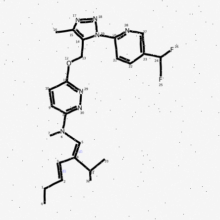 CC/C=C/C(=C\N(C)c1ccc(OCc2c(C)nnn2-c2ccc(C(F)F)cn2)nn1)C(C)C